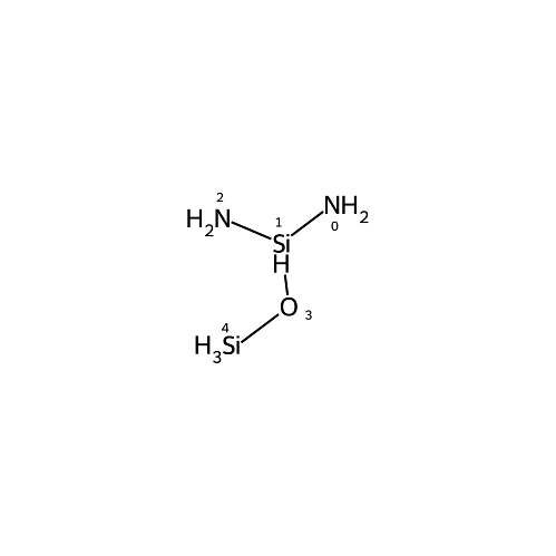 N[SiH](N)O[SiH3]